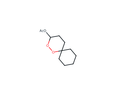 CC(=O)OC1CCC2(CCCCC2)OO1